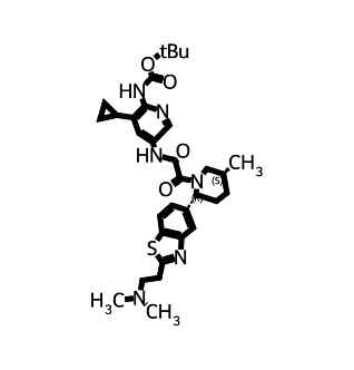 C[C@H]1CC[C@H](c2ccc3sc(CCN(C)C)nc3c2)N(C(=O)C(=O)Nc2cnc(NC(=O)OC(C)(C)C)c(C3CC3)c2)C1